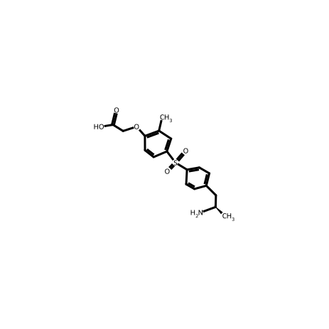 Cc1cc(S(=O)(=O)c2ccc(C[C@@H](C)N)cc2)ccc1OCC(=O)O